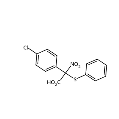 O=C(O)C(Sc1ccccc1)(c1ccc(Cl)cc1)[N+](=O)[O-]